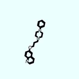 c1ccc(N2CCN(CCCOc3ccc4ncccc4c3)CC2)cc1